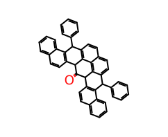 O=C1C2c3ccc4ccccc4c3C(c3ccccc3)c3ccc4ccc5c(c4c32)C1c1ccc2ccccc2c1C5c1ccccc1